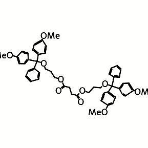 COc1ccc(C(OCCCOC(=O)CCC(=O)OCCCOC(c2ccccc2)(c2ccc(OC)cc2)c2ccc(OC)cc2)(c2ccccc2)c2ccc(OC)cc2)cc1